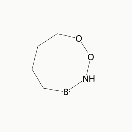 [B]1CCCCOON1